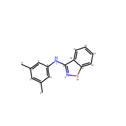 Cc1cc(C)cc(Nc2nsc3ccccc23)c1